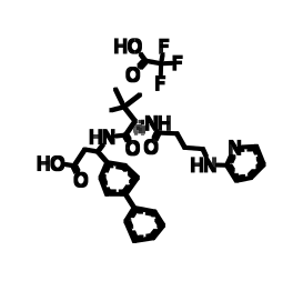 CC(C)(C)[C@H](NC(=O)CCCNc1ccccn1)C(=O)NC(CC(=O)O)c1ccc(-c2ccccc2)cc1.O=C(O)C(F)(F)F